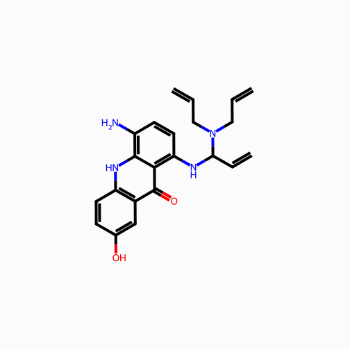 C=CCN(CC=C)C(C=C)Nc1ccc(N)c2[nH]c3ccc(O)cc3c(=O)c12